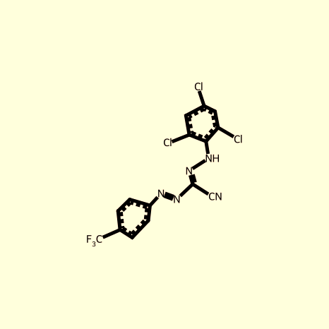 N#CC(N=Nc1ccc(C(F)(F)F)cc1)=NNc1c(Cl)cc(Cl)cc1Cl